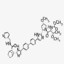 COC(=O)N[C@H](C(=O)N1C[C@@H](OC)C[C@H]1c1ncc(-c2ccc(-c3ccc(-c4cnc([C@@H]5C6CCC(C6)[C@H]5C(=O)NCc5cccnc5)[nH]4)cc3)cc2)[nH]1)[C@@H](C)OC